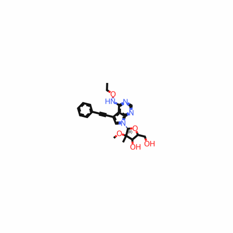 CCONc1ncnc2c1c(C#Cc1ccccc1)cn2[C@@H]1OC(CO)C(O)C1(C)OC